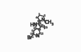 CN1CCC[C@@H]1c1[nH]c2cc(Br)ncc2c1I